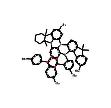 CC(C)(C)c1ccc(N(c2ccc(C(C)(C)C)cc2)c2cc3c4c(c2)N2c5c(cc(C(C)(C)C)cc5C5(C)CCCCC25C)B4c2ccc4c(c2N3c2ccc(C(C)(C)C)cc2-c2ccccc2)-c2cc(C(C)(C)C)ccc2C4(C)C)cc1